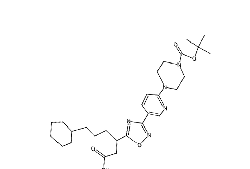 CC(C)(C)OC(=O)N1CCN(c2ccc(-c3noc(C(CCCC4CCCCC4)CC(=O)O)n3)cn2)CC1